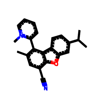 Cc1cc(C#N)c2oc3cc(C(C)C)ccc3c2c1-c1cccc[n+]1C